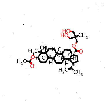 C=C(C)[C@@H]1CC[C@]2(C(=O)OCC(C)(CO)CO)CC[C@]3(C)[C@H](CC[C@@H]4[C@@]5(C)CC[C@H](OC(C)=O)C(C)(C)[C@@H]5CC[C@]43C)[C@@H]12